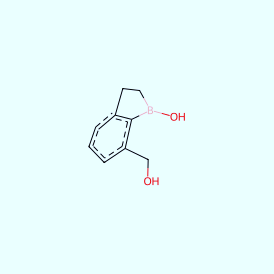 OCc1cccc2c1B(O)CC2